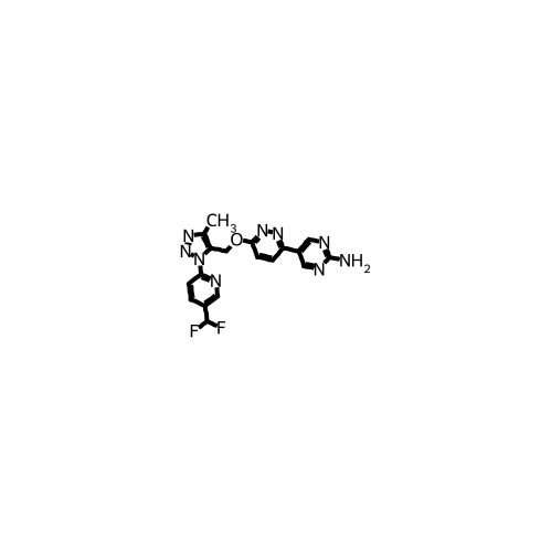 Cc1nnn(-c2ccc(C(F)F)cn2)c1COc1ccc(-c2cnc(N)nc2)nn1